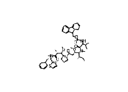 CC[C@H](C)[C@@H]([C@@H](CC(=O)N1CCC[C@H]1[C@H](OC)[C@@H](C)C(=O)N[C@@H](Cc1ccccc1)c1nccs1)OC)N(C)C(=O)[C@@H](NC(=O)OCC1c2ccccc2-c2ccccc21)C(C)C